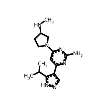 CN[C@@H]1CCN(c2cc(-c3cn[nH]c3C(C)C)nc(N)n2)C1